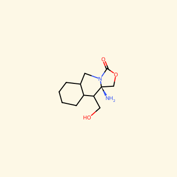 N[C@]12COC(=O)N1CC1CCCCC1C2CO